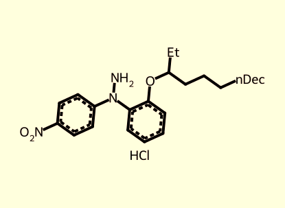 CCCCCCCCCCCCCC(CC)Oc1ccccc1N(N)c1ccc([N+](=O)[O-])cc1.Cl